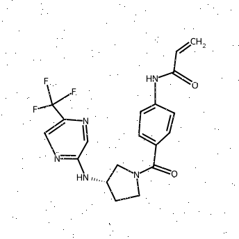 C=CC(=O)Nc1ccc(C(=O)N2CC[C@H](Nc3cnc(C(F)(F)F)cn3)C2)cc1